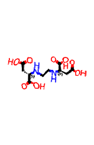 O=C(O)C[C@H](NCCN[C@H](CC(=O)O)C(=O)O)C(=O)O